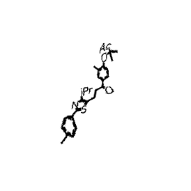 CC(=O)C(C)(C)Oc1ccc(C(=O)CCc2sc(-c3ccc(C)cc3)nc2C(C)C)cc1C